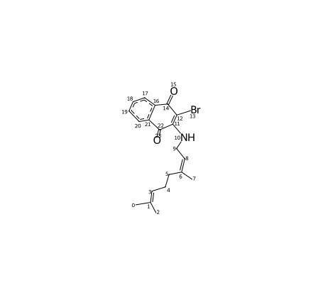 CC(C)=CCCC(C)=CCNC1=C(Br)C(=O)c2ccccc2C1=O